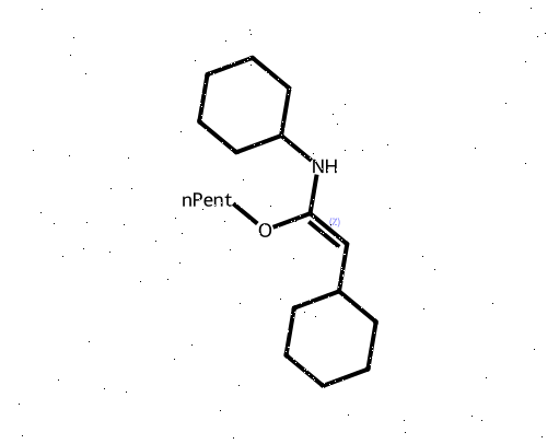 CCCCCO/C(=C\C1CCCCC1)NC1CCCCC1